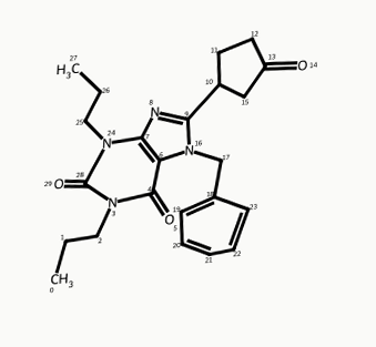 CCCn1c(=O)c2c(nc(C3CCC(=O)C3)n2Cc2ccccc2)n(CCC)c1=O